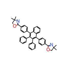 CC1(C)COC(c2ccc(-c3c(-c4ccccc4)c(-c4ccccc4)c(-c4ccc(C5=NC(C)(C)CO5)cc4)c4ccccc34)cc2)=N1